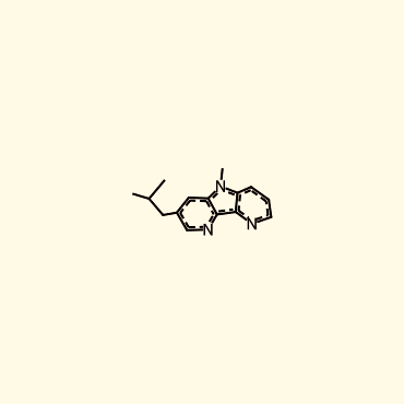 CC(C)Cc1cnc2c3ncccc3n(C)c2c1